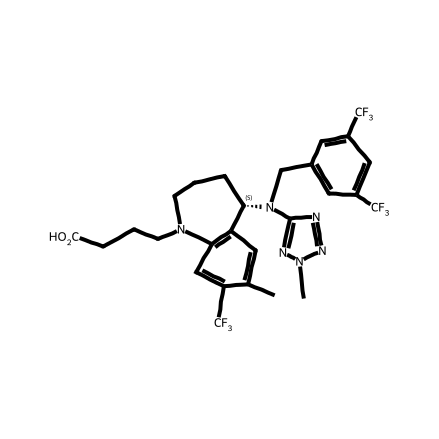 Cc1cc2c(cc1C(F)(F)F)N(CCCC(=O)O)CCC[C@@H]2N(Cc1cc(C(F)(F)F)cc(C(F)(F)F)c1)c1nnn(C)n1